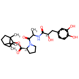 CC(NC(=O)[C@H](O)Cc1ccc(O)c(O)c1)C(=O)N1CCC[C@H]1C(=O)OC1CC2CCC1(C)C2(C)C